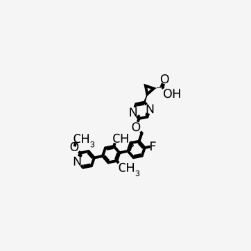 COc1cc(-c2cc(C)c(-c3ccc(F)c(COc4cnc([C@H]5C[C@@H]5C(=O)O)cn4)c3)c(C)c2)ccn1